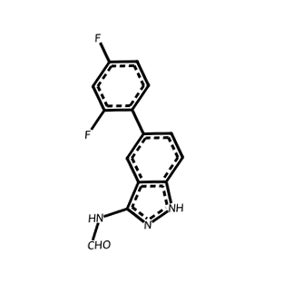 O=CNc1n[nH]c2ccc(-c3ccc(F)cc3F)cc12